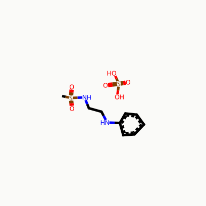 CS(=O)(=O)NCCNc1ccccc1.O=S(=O)(O)O